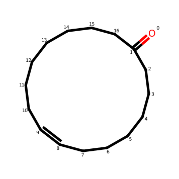 O=C1CCCCCC/C=C\CCCCCCC1